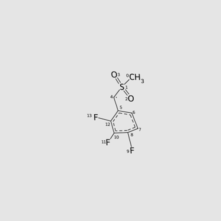 CS(=O)(=O)[CH]c1ccc(F)c(F)c1F